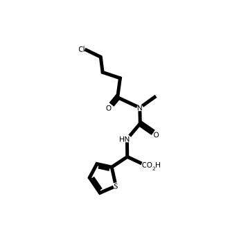 CN(C(=O)CCCCl)C(=O)NC(C(=O)O)c1cccs1